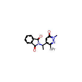 CCCc1nn(C)c(=O)cc1C(C)N1C(=O)c2ccccc2C1=O